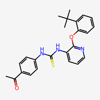 CC(=O)c1ccc(NC(=S)Nc2cccnc2Oc2ccccc2C(C)(C)C)cc1